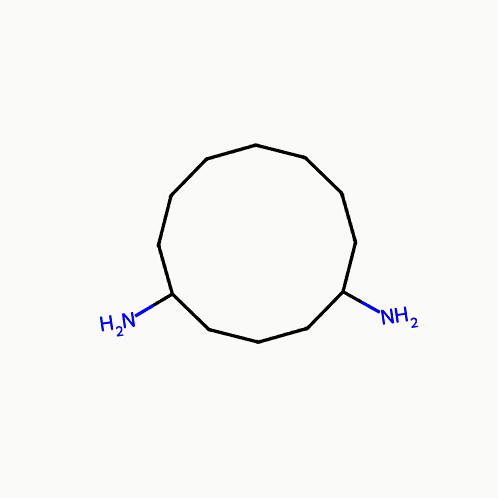 NC1CCCCCCCC(N)CCC1